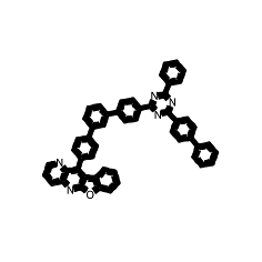 c1ccc(-c2ccc(-c3nc(-c4ccccc4)nc(-c4ccc(-c5cccc(-c6ccc(-c7c8ncccc8nc8oc9ccccc9c78)cc6)c5)cc4)n3)cc2)cc1